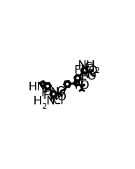 COC(=O)c1nc(-c2ccc3c(-c4cccc(COC(=O)c5nc(-c6ccc7cc[nH]c7c6F)c(F)c(N)c5Cl)c4)cn(C(=O)C(C)C)c3c2F)c(F)c(N)c1Cl